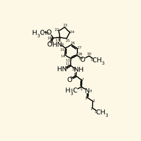 CCC/C=N/C(C)=C/C(=O)NC(=N)c1cc(NC2(C(=O)OC)CCCC2)ccc1OCC